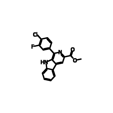 COC(=O)c1cc2c([nH]c3ccccc32)c(-c2ccc(Cl)c(F)c2)n1